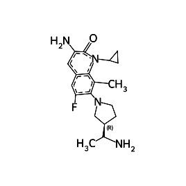 Cc1c(N2CC[C@@H](C(C)N)C2)c(F)cc2cc(N)c(=O)n(C3CC3)c12